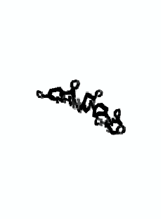 Cc1cc(N2CC(NC(=O)c3ccc(Cl)cn3)CC2=O)ccc1N1CCOCC1=O